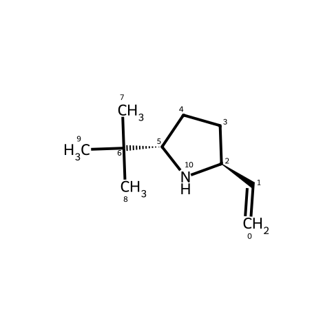 C=C[C@@H]1CC[C@@H](C(C)(C)C)N1